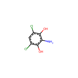 Nc1c(O)c(Cl)cc(Cl)c1O